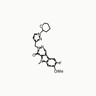 COc1cc2c(cc1F)c1cnn(Cc3ccn(C4CCCCO4)n3)c(=O)c1n2C